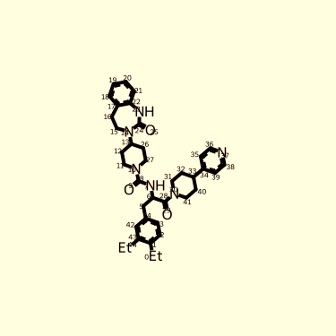 CCc1ccc(CC(NC(=O)N2CCC(N3CCc4ccccc4NC3=O)CC2)C(=O)N2CCC(c3ccncc3)CC2)cc1CC